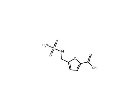 NS(=O)(=O)NCc1ccc(C(=O)O)o1